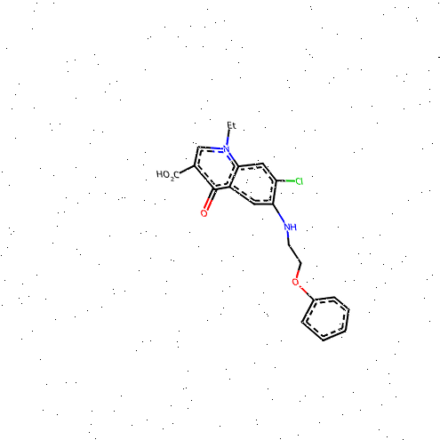 CCn1cc(C(=O)O)c(=O)c2cc(NCCOc3ccccc3)c(Cl)cc21